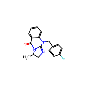 CC1CN=C2N(Cc3ccc(F)cc3)c3ccccc3C(=O)N21